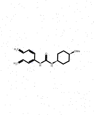 C=C/C=C\C(=C/C=C)NC(=O)N[C@H]1CC[C@@H](OC)CC1